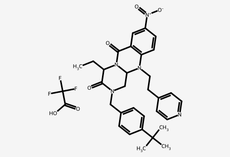 CCC1C(=O)N(Cc2ccc(C(C)(C)C)cc2)CC2N(CCc3ccncc3)c3ccc([N+](=O)[O-])cc3C(=O)N12.O=C(O)C(F)(F)F